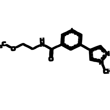 COCCNC(=O)c1c[c]cc(-c2cnn(C)c2)c1